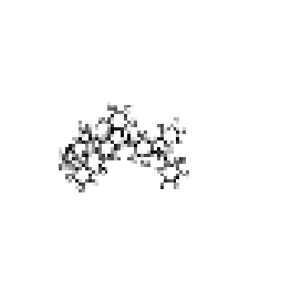 c1ccc(-n2c3ccccc3c3cc(-n4c5ccccc5c5cc6c(cc54)Sc4ccccc4C64c5ccccc5-c5ccccc54)ccc32)cc1